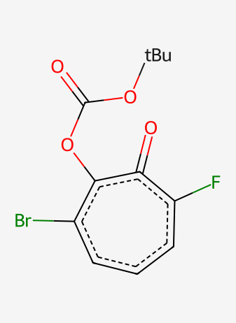 CC(C)(C)OC(=O)Oc1c(Br)cccc(F)c1=O